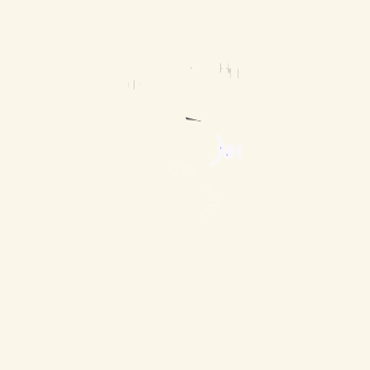 CC(C)(C)C(C[C@@H](CC=O)NC(=O)OCc1ccccc1)C(=O)O